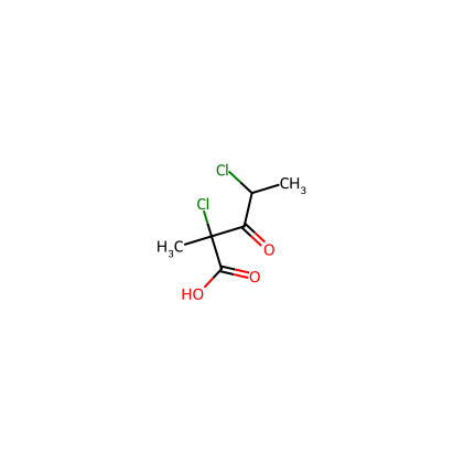 CC(Cl)C(=O)C(C)(Cl)C(=O)O